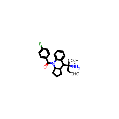 NC(CC=O)(C(=O)O)C1c2ccccc2N(C(=O)c2ccc(F)cc2)C2CCCC21